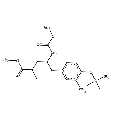 CC(CC(Cc1ccc(O[Si](C)(C)C(C)(C)C)c(N)c1)NC(=O)OC(C)(C)C)C(=O)OC(C)(C)C